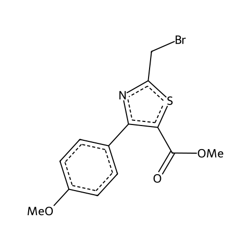 COC(=O)c1sc(CBr)nc1-c1ccc(OC)cc1